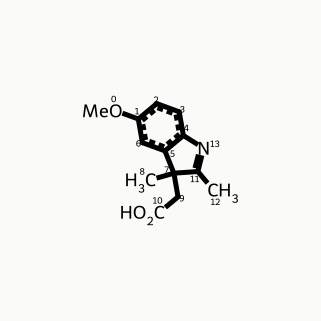 COc1ccc2c(c1)C(C)(CC(=O)O)C(C)=N2